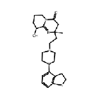 CC1(CCN2CCN(c3cccc4c3CCS4)CC2)CC(=O)N2CCCC(O)C2=N1